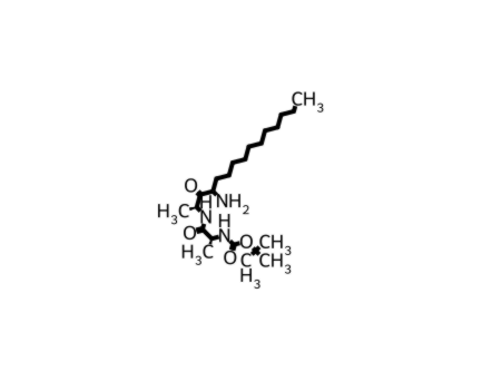 CCCCCCCCCCCC(N)C(=O)[C@H](C)NC(=O)[C@H](C)NC(=O)OC(C)(C)C